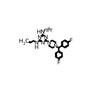 C=CCNc1nc(NCCC)nc(N2CCN(C(c3ccc(F)cc3)c3ccc(F)cc3)CC2)n1